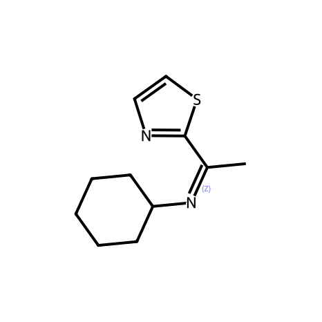 C/C(=N/C1CCCCC1)c1nccs1